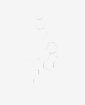 CCOC(=O)c1ncc2[nH]c3ccc(OCc4ccccn4)cc3c2c1COC